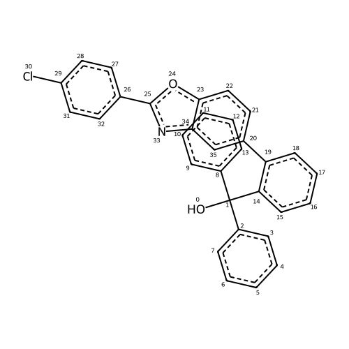 OC(c1ccccc1)(c1ccccc1)c1ccccc1-c1ccc2oc(-c3ccc(Cl)cc3)nc2c1